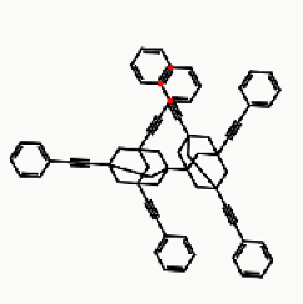 C(#CC12CC3(C#Cc4ccccc4)CC(C#Cc4ccccc4)(C1)CC(C14CC5(C#Cc6ccccc6)CC(C#Cc6ccccc6)(CC(C#Cc6ccccc6)(C5)C1)C4)(C2)C3)c1ccccc1